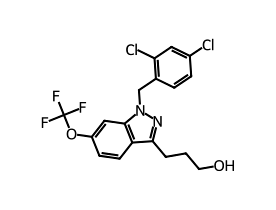 OCCCc1nn(Cc2ccc(Cl)cc2Cl)c2cc(OC(F)(F)F)ccc12